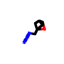 [N-]=[N+]=NCC12CC(CO1)C2